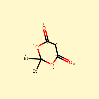 CCC1(CC)OC(=O)CC(=O)O1